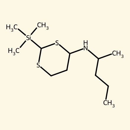 CCCC(C)NC1CCSC([Si](C)(C)C)S1